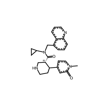 Cn1ccc(C2CCNC[C@@H]2C(=O)N(Cc2cccc3ncccc23)C2CC2)cc1=O